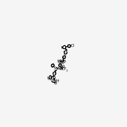 CC1(C)CCC(c2ccc(Cl)cc2)=C(CN2CCN(c3ccc(C(=O)NS(=O)(=O)c4ccc(N[C@H](CCN5CCN(Cc6ccnnc6N6CCC(=O)NC6=O)CC5)CSc5ccccc5)c(S(=O)(=O)C(F)(F)F)c4)cc3)CC2)C1